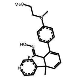 CCC(=NO)C1C(c2ccc(N(C)CCOC)cc2)=CC=CC1(C)c1ccncc1